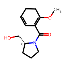 COC1=C(C(=O)N2CCC[C@@H]2CO)C=CCC1